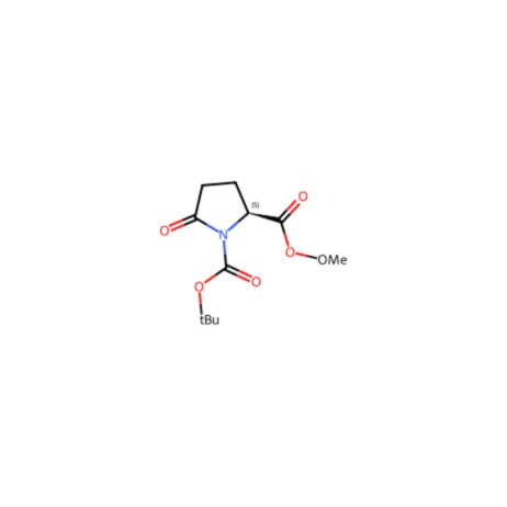 COOC(=O)[C@@H]1CCC(=O)N1C(=O)OC(C)(C)C